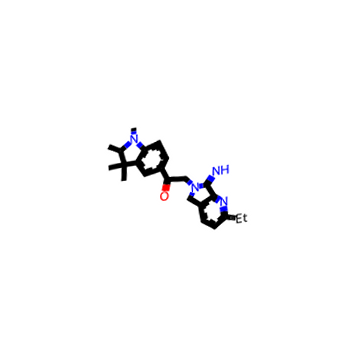 CCc1ccc2c(n1)C(=N)N(CC(=O)c1ccc3c(c1)C(C)(C)C(C)N3C)C2